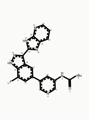 CCCCC(=O)Nc1cncc(-c2cc(F)c3[nH]nc(-c4nc5cccnc5[nH]4)c3c2)c1